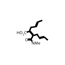 CC=CC/C(C(=O)O)=C(\CC=CC)C(=O)NC